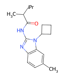 Cc1ccc2nc(NC(=O)C(C)C(C)C)n(C3CCC3)c2c1